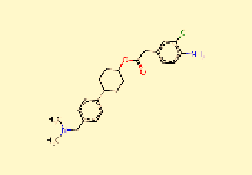 CN(C)Cc1ccc([C@H]2CC[C@H](OC(=O)Cc3ccc(N)c(Cl)c3)CC2)cc1